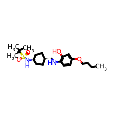 CCCCOc1ccc(NC[C@H]2CC[C@H](NS(=O)(=O)C(C)(C)C)CC2)c(O)c1